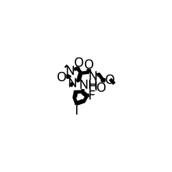 COC(=O)CNC(=O)c1c(Nc2ccc(I)cc2F)n(C)c(=O)n(C)c1=O